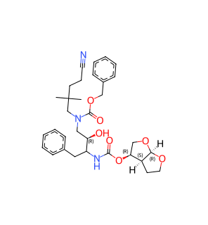 CC(C)(CCC#N)CN(C[C@@H](O)C(Cc1ccccc1)NC(=O)O[C@H]1CO[C@H]2OCC[C@H]21)C(=O)OCc1ccccc1